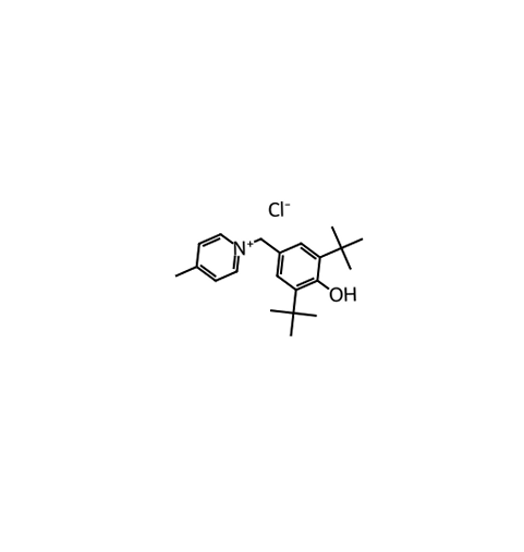 Cc1cc[n+](Cc2cc(C(C)(C)C)c(O)c(C(C)(C)C)c2)cc1.[Cl-]